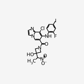 CC([N+](=O)[O-])C1(O)CN(C(=O)c2cn3ccnc3c(Cl)c2Nc2ccc(I)cc2F)C1